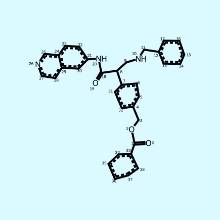 O=C(OCc1ccc(C(CNCc2ccccc2)C(=O)Nc2ccc3cnccc3c2)cc1)c1ccccc1